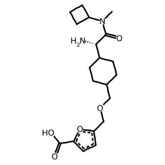 CN(C(=O)[C@@H](N)C1CCC(COCc2ccc(C(=O)O)o2)CC1)C1CCC1